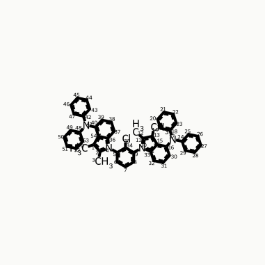 Cc1c(C)n(-c2cccc(-n3c(C)c(C)c4c(N(c5ccccc5)c5ccccc5)cccc43)c2Cl)c2cccc(N(c3ccccc3)c3ccccc3)c12